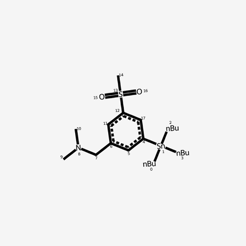 CCC[CH2][Sn]([CH2]CCC)([CH2]CCC)[c]1cc(CN(C)C)cc(S(C)(=O)=O)c1